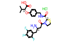 CC(C)[C@@H](Oc1ccc(CNC(=O)[C@@H]2SCCN2C(=O)C[C@H](N)Cc2cc(F)c(F)cc2F)cc1)C(=O)O.Cl